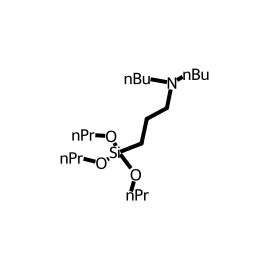 CCCCN(CCCC)CCC[Si](OCCC)(OCCC)OCCC